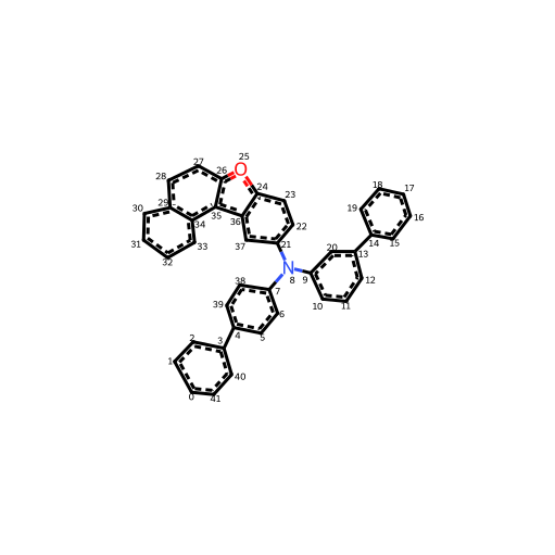 c1ccc(-c2ccc(N(c3cccc(-c4ccccc4)c3)c3ccc4oc5ccc6ccccc6c5c4c3)cc2)cc1